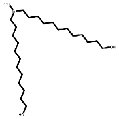 CCC[CH2][Sn]([CH2]CCCCCCCCCCCO)[CH2]CCCCCCCCCCCO